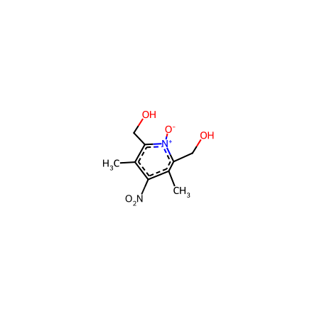 Cc1c([N+](=O)[O-])c(C)c(CO)[n+]([O-])c1CO